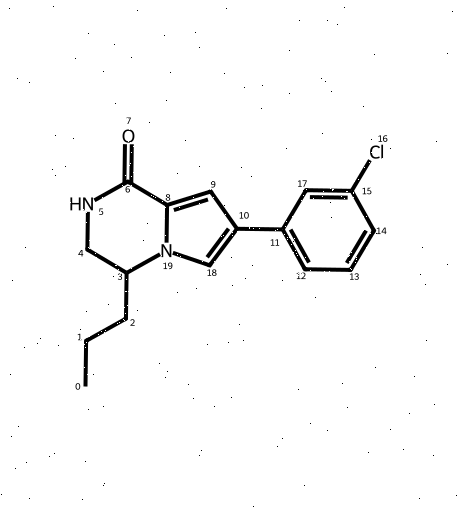 CCCC1CNC(=O)c2cc(-c3cccc(Cl)c3)cn21